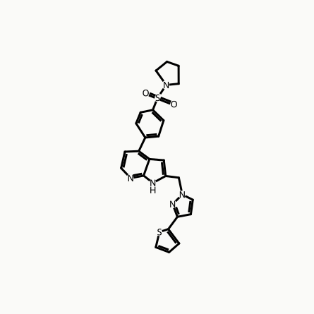 O=S(=O)(c1ccc(-c2ccnc3[nH]c(Cn4ccc(-c5cccs5)n4)cc23)cc1)N1CCCC1